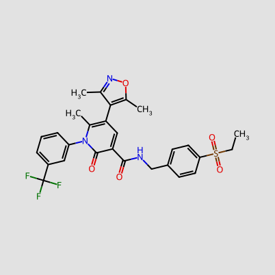 CCS(=O)(=O)c1ccc(CNC(=O)c2cc(-c3c(C)noc3C)c(C)n(-c3cccc(C(F)(F)F)c3)c2=O)cc1